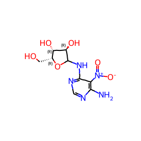 Nc1ncnc(NC2O[C@H](CO)[C@H](O)[C@H]2O)c1[N+](=O)[O-]